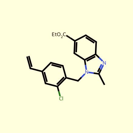 C=Cc1ccc(Cn2c(C)nc3ccc(C(=O)OCC)cc32)c(Cl)c1